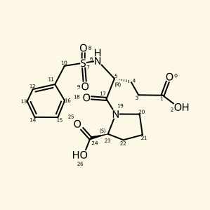 O=C(O)CC[C@@H](NS(=O)(=O)Cc1ccccc1)C(=O)N1CCC[C@H]1C(=O)O